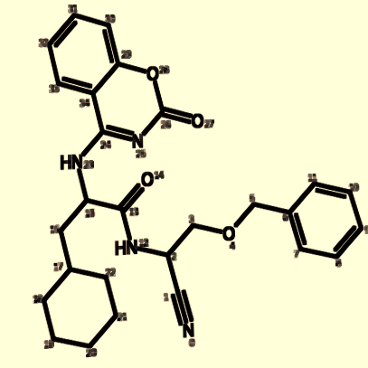 N#CC(COCc1ccccc1)NC(=O)C(CC1CCCCC1)Nc1nc(=O)oc2ccccc12